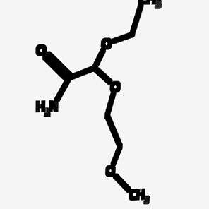 CCOC(OCCOC)C(N)=O